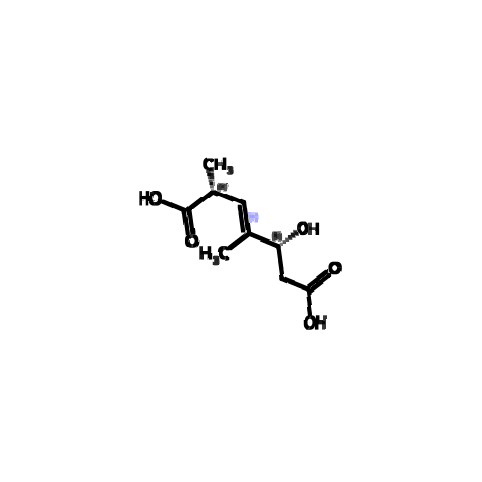 C/C(=C\[C@@H](C)C(=O)O)[C@H](O)CC(=O)O